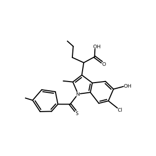 CCCC(C(=O)O)c1c(C)n(C(=S)c2ccc(C)cc2)c2cc(Cl)c(O)cc12